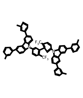 Cc1cccc(-c2ccc3c(c2)c2cc(-c4cccc(C)c4)ccc2n3-c2ccc(C(F)(F)F)c(-c3cc(-n4c5ccc(-c6cccc(C)c6)cc5c5cc(-c6cccc(C)c6)ccc54)ccc3C(F)(F)F)c2)c1